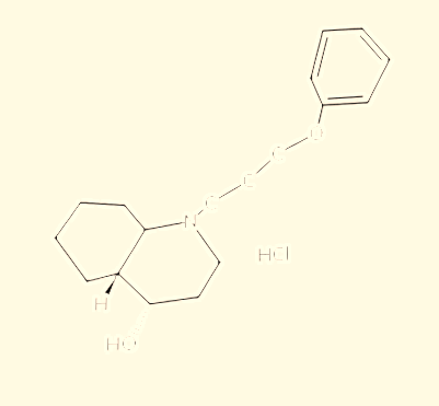 Cl.O[C@H]1CCN(CCCOc2ccccc2)C2CCCC[C@H]21